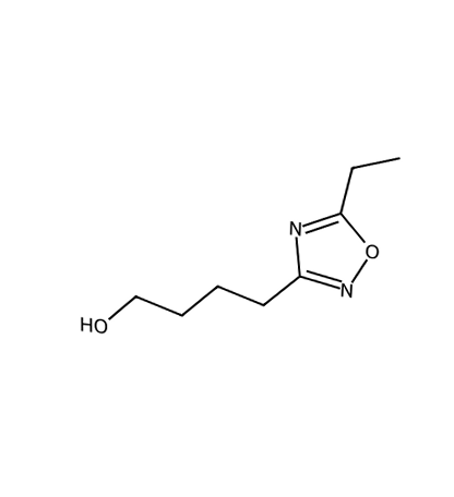 CCc1nc(CCCCO)no1